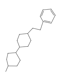 CC1CCC(C2CCC(CCc3ccccc3)CC2)CC1